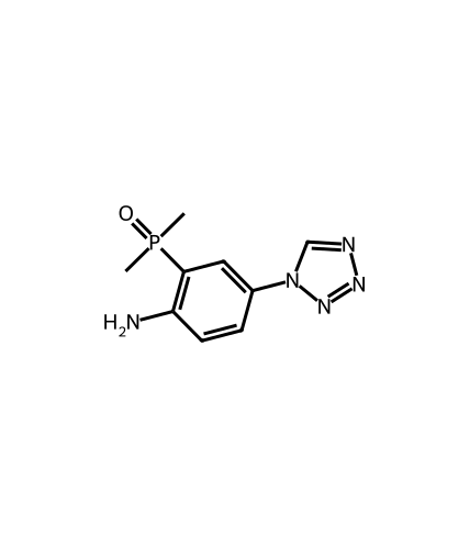 CP(C)(=O)c1cc(-n2cnnn2)ccc1N